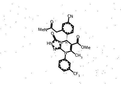 CNC(=O)Cc1cc(C#N)ccc1[C@@H]1C(C(=O)OC)=C(C)N(c2cccc(C(F)(F)F)c2)c2n[nH]c(=O)n21